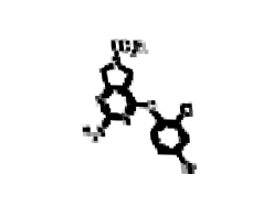 CCOC(=O)N1Cc2nc(N)nc(Oc3ccc(Br)cc3Cl)c2C1